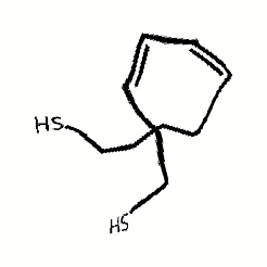 SCC1(CS)C=CC=CC1